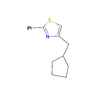 CC(C)c1nc(CC2CCCC2)cs1